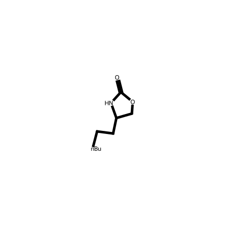 CCCCCCC1COC(=O)N1